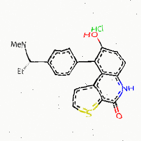 CC[C@H](NC)c1ccc(-c2c(O)ccc3[nH]c(=O)c4sccc4c23)cc1.Cl